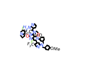 COc1ccc(CN(Cc2ccc(OC)cc2)c2cc(-c3nc4c5c(nc(OC[C@@]67CCCN6C[C@H](F)C7)nc5c3F)N([C@H](C)c3cccnc3N)CCO4)c(C(F)(F)F)cn2)cc1